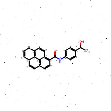 O=C(Nc1ccc(C(O)C(F)(F)F)cc1)c1ccc2c3c4c(ccc13)CC=CC4C=C2